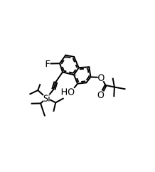 CC(C)[Si](C#Cc1c(F)ccc2cc(OC(=O)C(C)(C)C)cc(O)c12)(C(C)C)C(C)C